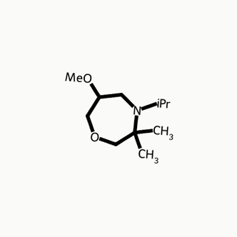 COC1COCC(C)(C)N(C(C)C)C1